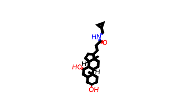 CC12CC[C@H]3C(C(O)CC4C[C@H](O)CCC43C)[C@@H]1CCC2CCC(=O)NCC1CC1